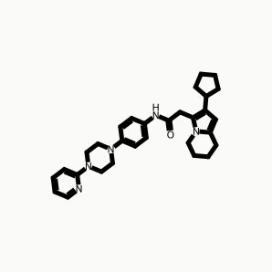 O=C(Cc1c(C2CCCC2)cc2n1CCCC2)Nc1ccc(N2CCN(c3ccccn3)CC2)cc1